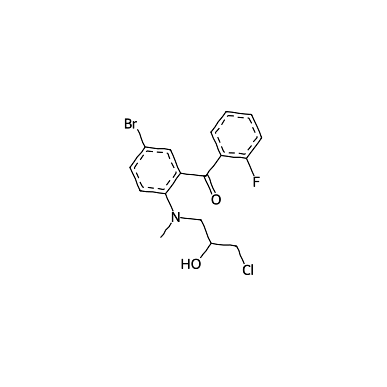 CN(CC(O)CCl)c1ccc(Br)cc1C(=O)c1ccccc1F